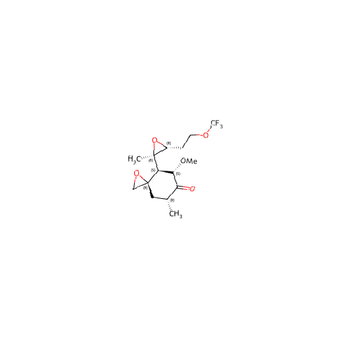 CO[C@@H]1C(=O)[C@H](C)C[C@]2(CO2)[C@H]1[C@@]1(C)O[C@@H]1CCOC(F)(F)F